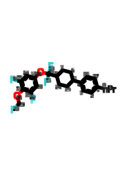 CCCc1ccc(C2CCC(C(F)(F)Oc3cc(F)c(OCF)c(F)c3)CC2)cc1